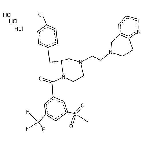 CS(=O)(=O)c1cc(C(=O)N2CCN(CCN3CCc4ncccc4C3)C[C@H]2Cc2ccc(Cl)cc2)cc(C(F)(F)F)c1.Cl.Cl.Cl